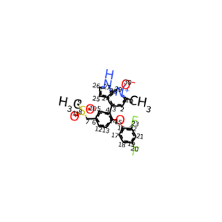 Cc1cc(-c2cc(CS(C)(=O)=O)ccc2Oc2ccc(F)cc2F)c2cc[nH]c2[n+]1[O-]